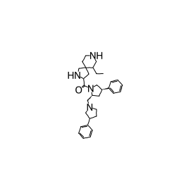 CCC1CNCCC12CNC(C(=O)N1C[C@@H](c3ccccc3)C[C@H]1CN1CCC(c3ccccc3)C1)C2